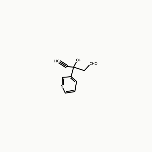 C#CC(O)(CC=O)c1cccnc1